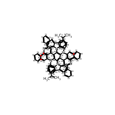 CC(C)c1ccc(N(c2ccccc2)c2c(-c3cc(-c4ccccc4)nc(-c4ccccc4)c3)c(-n3c4ccccc4c4ccccc43)c(N(c3ccccc3)c3ccc(C(C)C)cc3)c(-c3cc(-c4ccccc4)nc(-c4ccccc4)c3)c2-n2c3ccccc3c3ccccc32)cc1